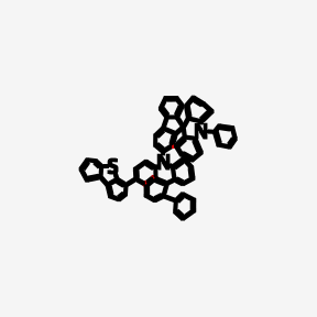 c1ccc(-c2ccccc2-c2ccccc2N(c2ccc(-c3cccc4c3sc3ccccc34)cc2)c2ccc3c(c2)C2(c4ccccc4-3)c3ccccc3N(c3ccccc3)c3ccccc32)cc1